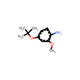 COc1cc(OC(C)(C)C)ccc1N